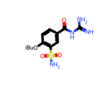 CC(C)COc1ccc(C(=O)NC(=N)N)cc1S(N)(=O)=O